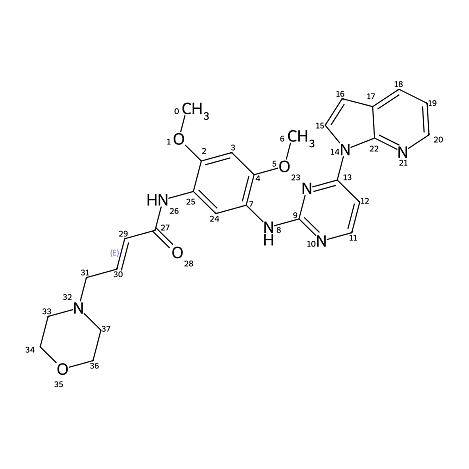 COc1cc(OC)c(Nc2nccc(-n3ccc4cccnc43)n2)cc1NC(=O)/C=C/CN1CCOCC1